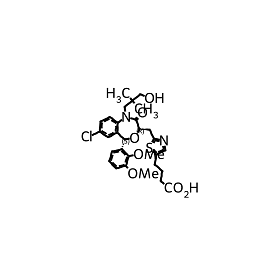 COc1cccc([C@H]2O[C@H](Cc3ncc(CCCC(=O)O)s3)C(=O)N(CC(C)(C)CO)c3ccc(Cl)cc32)c1OC